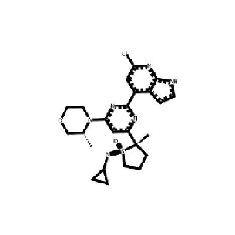 C[C@@H]1COCCN1c1cc([C@]2(C)CCCS2(=O)=NC2CC2)nc(-c2cc(Cl)nc3[nH]ccc23)n1